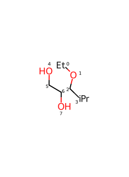 CCOCC(C)C.OCCO